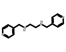 c1cc(CNCCNCc2ccncc2)ccn1